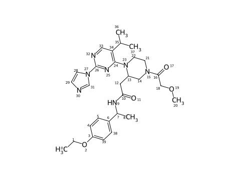 CCOc1ccc(C(C)NC(=O)CC2CN(C(=O)COC)CCN2c2nc(-n3ccnc3)ncc2C(C)C)cc1